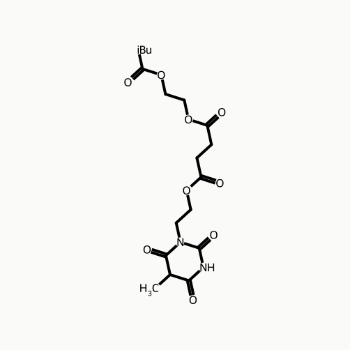 CCC(C)C(=O)OCCOC(=O)CCC(=O)OCCN1C(=O)NC(=O)C(C)C1=O